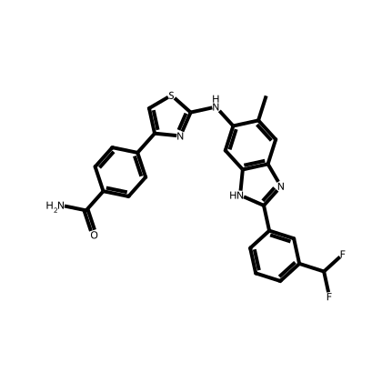 Cc1cc2nc(-c3cccc(C(F)F)c3)[nH]c2cc1Nc1nc(-c2ccc(C(N)=O)cc2)cs1